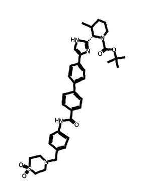 CC1CCCN(C(=O)OC(C)(C)C)[C@@H]1c1nc(-c2ccc(-c3ccc(C(=O)Nc4ccc(CN5CCS(=O)(=O)CC5)cc4)cc3)cc2)c[nH]1